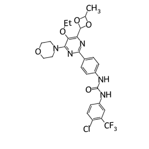 CCOc1c(C2OC(C)O2)nc(-c2ccc(NC(=O)Nc3ccc(Cl)c(C(F)(F)F)c3)cc2)nc1N1CCOCC1